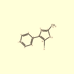 Cc1nc(-c2ccncc2)c(I)s1